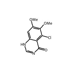 COc1cc2[nH]cnc(=O)c2c(Cl)c1OC